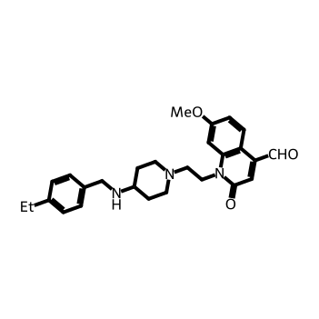 CCc1ccc(CNC2CCN(CCn3c(=O)cc(C=O)c4ccc(OC)cc43)CC2)cc1